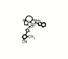 Cc1cc(C#N)ccc1C1CN(C(=O)[C@@H]2CC[C@@H]3CCCC[C@H](NC(=O)c4cc5ccccc5s4)C(=O)N32)C1